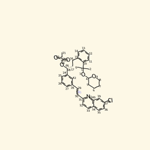 CC(C)(OC1CCCCO1)c1ccccc1CC[C@@H](OS(C)(=O)=O)c1cccc(/C=C/c2ccc3ccc(Cl)cc3n2)c1